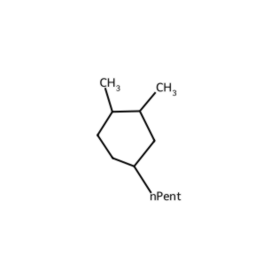 CC[CH]CCC1CCC(C)C(C)C1